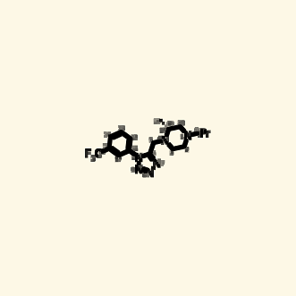 CC(C)N1CCN(Cc2nnnn2-c2cccc(C(F)(F)F)c2)[C@H](C)C1